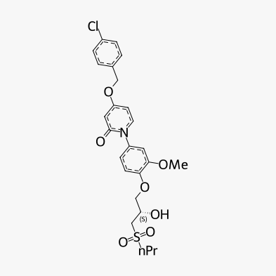 CCCS(=O)(=O)C[C@@H](O)COc1ccc(-n2ccc(OCc3ccc(Cl)cc3)cc2=O)cc1OC